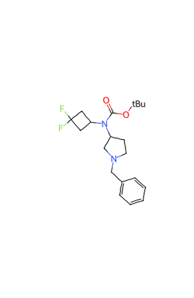 CC(C)(C)OC(=O)N(C1CCN(Cc2ccccc2)C1)C1CC(F)(F)C1